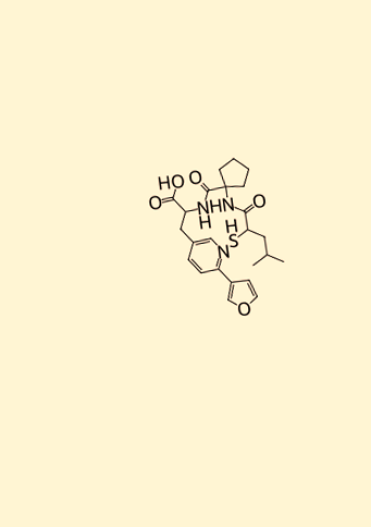 CC(C)CC(S)C(=O)NC1(C(=O)NC(Cc2ccc(-c3ccoc3)nc2)C(=O)O)CCCC1